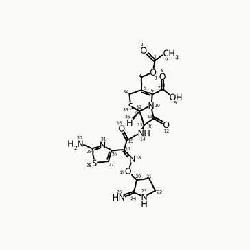 CC(=O)OCC1=C(C(=O)O)N2C(=O)[C@@H](NC(=O)C(=NOC3CCNC3=N)c3csc(N)n3)[C@@H]2SC1